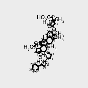 C=C(C)[C@@H]1CC[C@]2(C(=O)N3CCC[C@H]3c3ncc(-c4cccnc4)[nH]3)CC[C@]3(C)[C@H](CC[C@@H]4[C@@]5(C)CC[C@H](OC(=O)CC(C)(C)CC(=O)O)C(C)(C)[C@@H]5CC[C@]43C)[C@@H]12